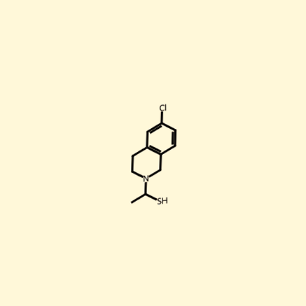 CC(S)N1CCc2cc(Cl)ccc2C1